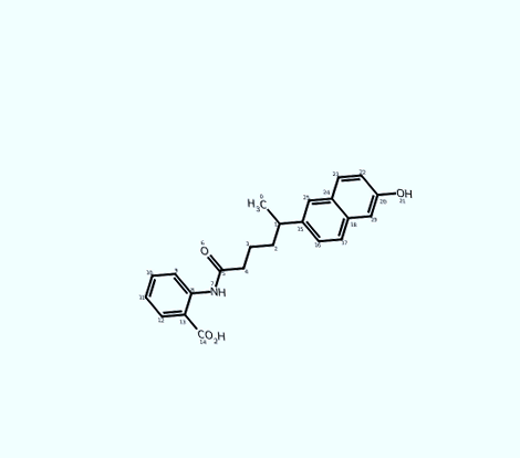 CC(CCCC(=O)Nc1ccccc1C(=O)O)c1ccc2cc(O)ccc2c1